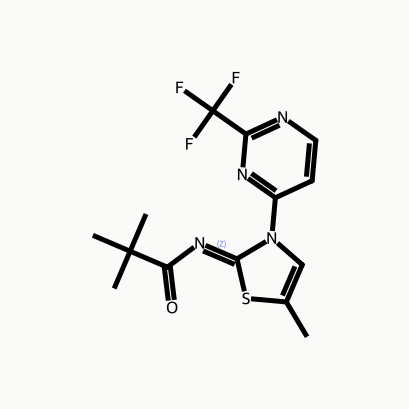 Cc1cn(-c2ccnc(C(F)(F)F)n2)/c(=N/C(=O)C(C)(C)C)s1